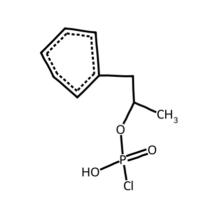 CC(Cc1ccccc1)OP(=O)(O)Cl